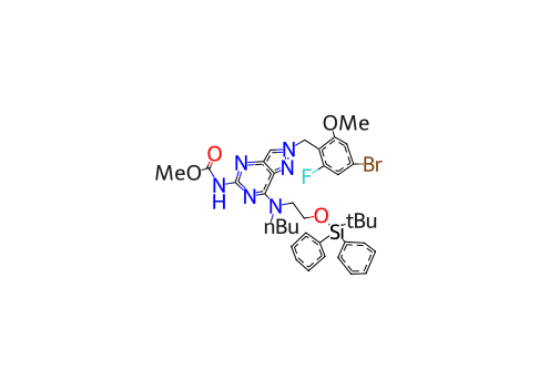 CCCCN(CCO[Si](c1ccccc1)(c1ccccc1)C(C)(C)C)c1nc(NC(=O)OC)nc2cn(Cc3c(F)cc(Br)cc3OC)nc12